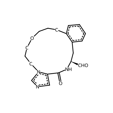 O=C[C@@H]1Cc2ccccc2CCCOCCCn2cncc2C(=O)N1